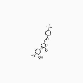 COc1ccc(N2CC(COc3ccc(C(C)(C)C)cc3)OC2=O)cc1O